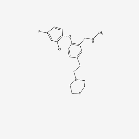 CNCc1cc(CCN2CCOCC2)ccc1Oc1ccc(F)cc1Cl